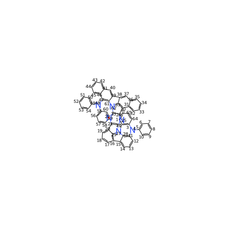 c1ccc(N(c2ccccc2)c2cccc3c4cccc5c6nc7c(nc6n(c23)c45)c2c3ccccc3cc3c4cc5ccccc5c(N(c5ccccc5)c5ccccc5)c4n7c32)cc1